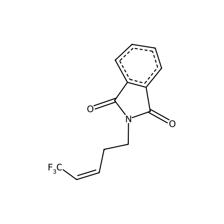 O=C1c2ccccc2C(=O)N1CC/C=C\C(F)(F)F